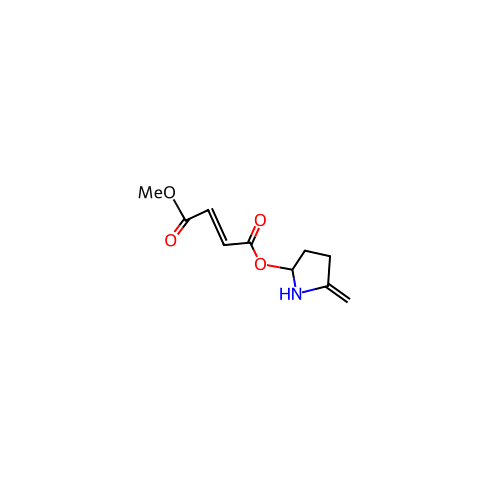 C=C1CCC(OC(=O)/C=C/C(=O)OC)N1